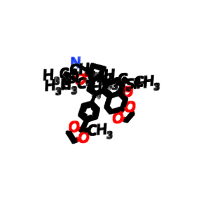 C[SiH](C)O[C@@]12CC[C@@H]3C(=C1CCC1(C2)OCCO1)[C@@H](c1ccc(C2(C)OCCO2)cc1)C[C@@]1(C)[C@H]3CC[C@@]1(C#N)O[Si](C)(C)C